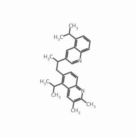 Cc1cc2c(C(C)C)c(CC(C)c3cnc4cccc(C(C)C)c4c3)ccc2nc1C